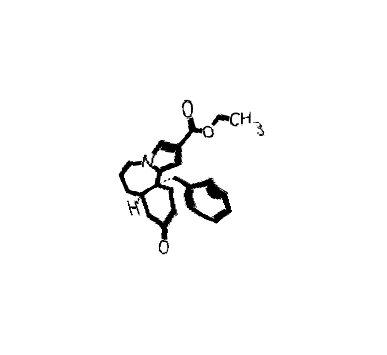 CCOC(=O)c1cc2n(c1)CCC[C@@H]1CC(=O)CC[C@]21Cc1ccccc1